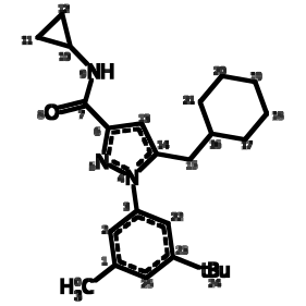 Cc1cc(-n2nc(C(=O)NC3CC3)cc2CC2CCCCC2)cc(C(C)(C)C)c1